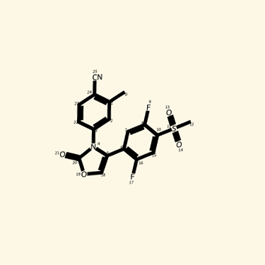 Cc1cc(-n2c(-c3cc(F)c(S(C)(=O)=O)cc3F)coc2=O)ccc1C#N